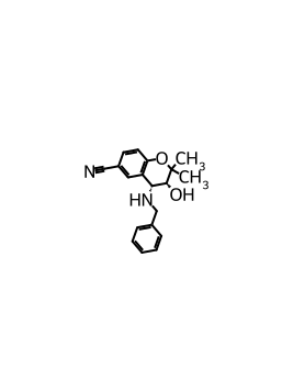 CC1(C)Oc2ccc(C#N)cc2[C@@H](NCc2ccccc2)[C@@H]1O